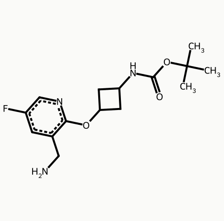 CC(C)(C)OC(=O)NC1CC(Oc2ncc(F)cc2CN)C1